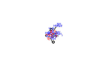 N=C(N)NCCC[C@H](N)C(=O)N1CCCN1C(=O)N1CCC[C@H]1C(=O)NCC(=O)N[C@@H](Cc1ccccc1)C(=O)N[C@@H](CO)C(=O)N1CCC[C@H]1C(O)NN(Cc1ccccc1)C(=O)N[C@H](CCCNC(=N)N)C(=O)O